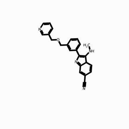 CNC1=C(c2cccc(COCc3cccnc3)c2)N=C2C=C(C#N)C=CC21